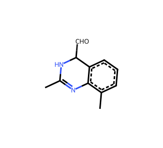 CC1=Nc2c(C)cccc2C(C=O)N1